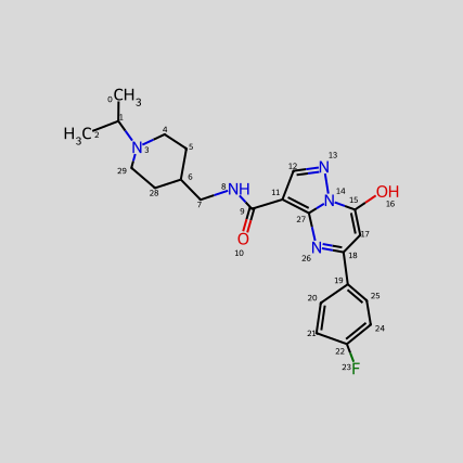 CC(C)N1CCC(CNC(=O)c2cnn3c(O)cc(-c4ccc(F)cc4)nc23)CC1